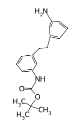 CC(C)(C)OC(=O)Nc1cccc(CCc2cccc(N)c2)c1